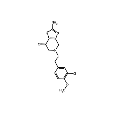 COc1ccc(CSN2CC(=O)c3sc(N)nc3C2)cc1Cl